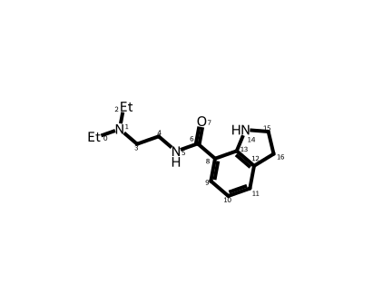 CCN(CC)CCNC(=O)c1cccc2c1NCC2